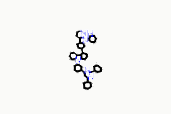 C1=CC2c3c(-c4ccc5c6c(n(-c7ccccc7)c5c4)NCC=C6)cccc3N(c3cccc(-c4cc(-c5ccccc5)nc(-c5ccccc5)n4)c3)C2C=C1